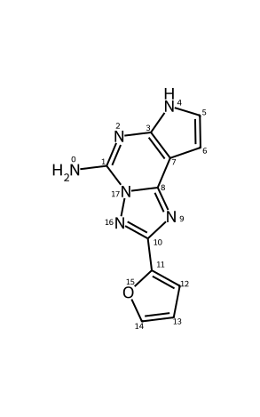 Nc1nc2[nH]ccc2c2nc(-c3ccco3)nn12